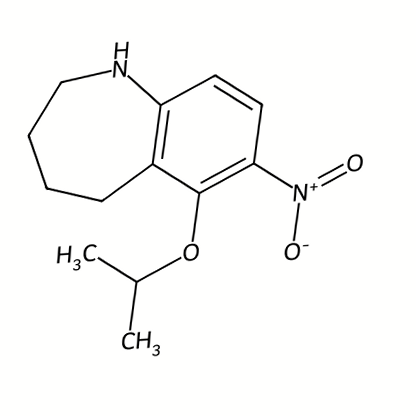 CC(C)Oc1c([N+](=O)[O-])ccc2c1CCCCN2